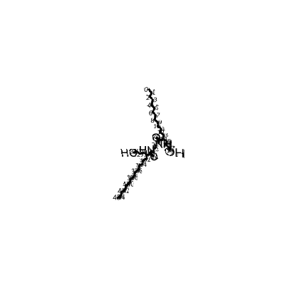 CCCCCCCCCCCCCCC(CCCO)C(=O)NCCNC(=O)C(CCCO)CCCCCCCCCCCCCC